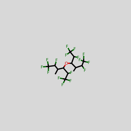 CC(C(OC(C(C)C(F)C(F)(F)F)C(F)C(F)(F)F)C(F)C(F)(F)F)C(F)C(F)(F)F